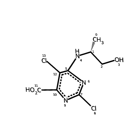 C[C@H](CO)Nc1nc(Cl)nc(C(=O)O)c1Cl